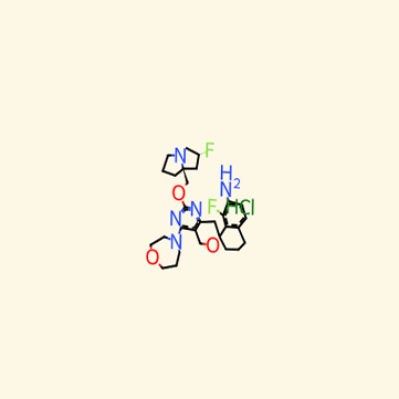 Cl.Nc1ccc2c(c1F)C1(CCC2)Cc2nc(OC[C@@]34CCCN3C[C@H](F)C4)nc(N3CCCOCC3)c2CO1